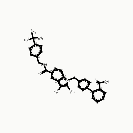 Cc1c(C)n(Cc2ccc(-c3ccccc3C(=O)O)cc2)c2ccc(C(=O)NCc3ccc(C(C)(C)C)cc3)cc12